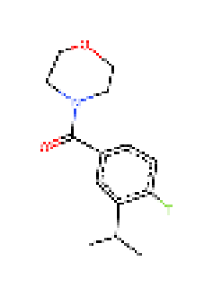 CC(C)c1cc(C(=O)N2CCOCC2)ccc1F